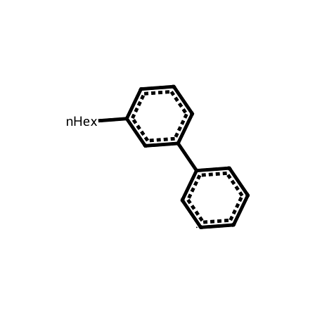 CCCCCCc1cccc(-c2c[c]ccc2)c1